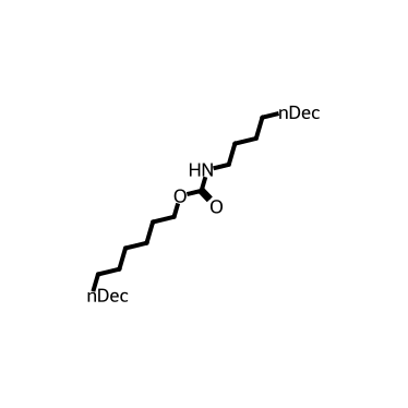 CCCCCCCCCCCCCCCCOC(=O)NCCCCCCCCCCCCCC